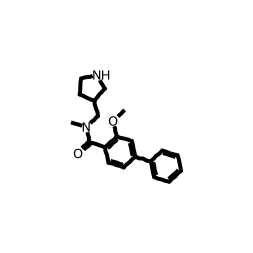 COc1cc(-c2ccccc2)ccc1C(=O)N(C)CC1CCNC1